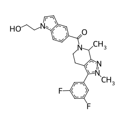 CC1c2nn(C)c(-c3cc(F)cc(F)c3)c2CCN1C(=O)c1ccc2c(ccn2CCO)c1